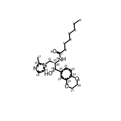 CCCCCCCC(=O)N[C@H](Cn1ccnc1C)[C@@H](O)c1ccc2c(c1)OCCO2